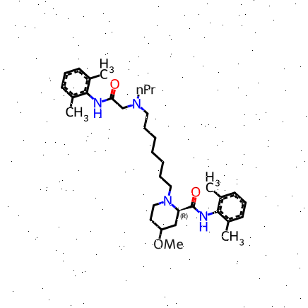 CCCN(CCCCCCCN1CCC(OC)C[C@@H]1C(=O)Nc1c(C)cccc1C)CC(=O)Nc1c(C)cccc1C